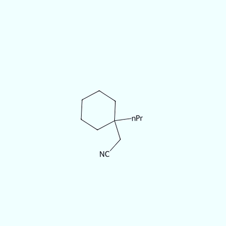 CCCC1(CC#N)CCCCC1